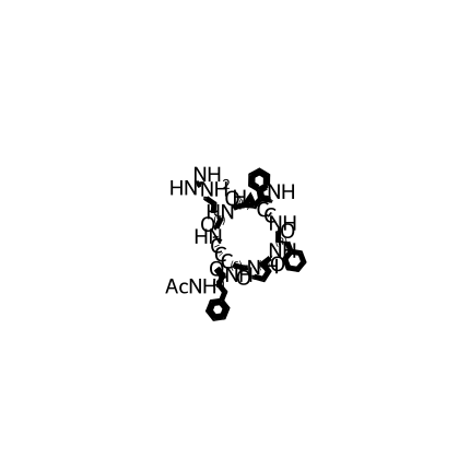 CC(=O)N[C@@H](Cc1ccccc1)C(=O)N[C@H]1CCCNC(=O)[C@H](CCCNC(=N)N)NC(=O)[C@H]2CC2(c2c[nH]c3ccccc23)CCNC(=O)[C@@H](CC2CCCCC2)NC(=O)[C@@H]2CCCN2C1=O